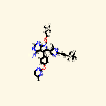 Cc1ccnc(Oc2ccc(-c3c(-c4cnc(C#C[Si](C)(C)C(C)(C)C)nc4C)n(COCC[Si](C)(C)C)c4ncnc(N)c34)cc2)n1